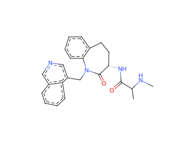 CNC(C)C(=O)N[C@H]1CCc2ccccc2N(Cc2cncc3ccccc23)C1=O